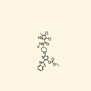 CCOC(=O)Oc1sc(N2CC[C@@H](NC(=O)c3[nH]c(C)c(Cl)c3Cl)[C@@H](F)C2)nc1-c1nc2ccccc2s1